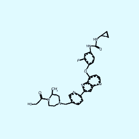 CC1CN(Cc2ccc(-c3cc4nccc(Oc5ccc(NC(=O)NC6CC6)cc5F)c4s3)nc2)CCN1C(=O)CO